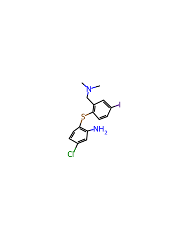 CN(C)Cc1cc(I)ccc1Sc1ccc(Cl)cc1N